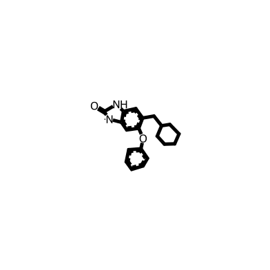 O=C1[N]c2cc(Oc3ccccc3)c(CC3CCCCC3)cc2N1